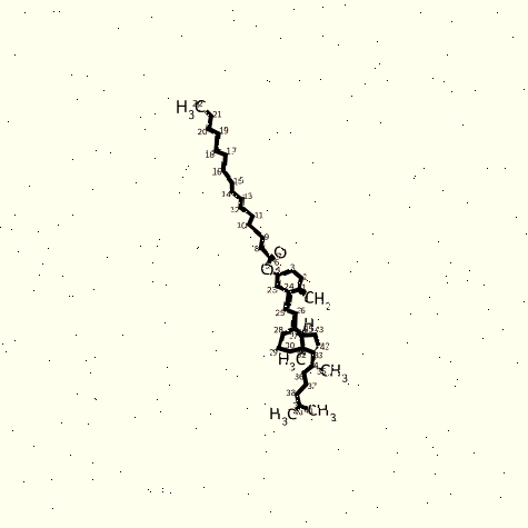 C=C1CC[C@H](OC(=O)CCCCCCCCCCCCCCC)C/C1=C/C=C1\CCC[C@]2(C)[C@@H]([C@H](C)CCCC(C)C)CC[C@@H]12